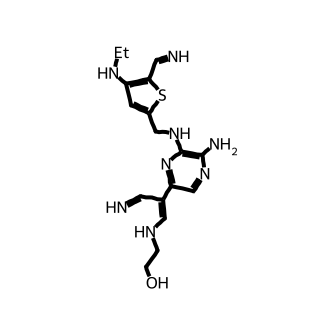 CCNc1cc(CNc2nc(/C(C=N)=C/NCCO)cnc2N)sc1C=N